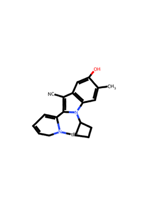 Cc1cc2c(cc1O)c(C#N)c(C1=CC=CCN1C(C)(C)C)n2C1CCC1